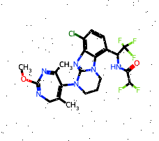 COC1=NCC(C)=C(N2CCCn3c2nc2c(Cl)ccc(C(NC(=O)C(F)F)C(F)(F)F)c23)C(C)=N1